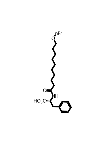 CCCOCCCCCCCCCC(=O)N[C@@H](Cc1ccccc1)C(=O)O